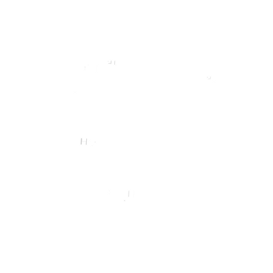 C=C.CC(C)(C)c1cc(C=C(O)C(=O)O)cc(C(C)(C)C)c1